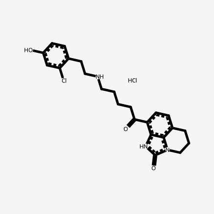 Cl.O=C(CCCCNCCc1ccc(O)cc1Cl)c1ccc2c3c1[nH]c(=O)n3CCC2